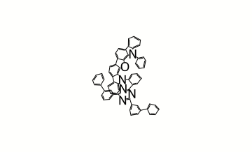 c1ccc(-c2cccc(-c3nc(-c4cccc(-c5ccccc5)c4)nc(-c4ccccc4-n4c5ccccc5c5ccc6c7ccc8c9ccccc9n(-c9ccccc9)c8c7oc6c54)n3)c2)cc1